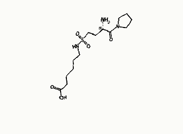 N[C@@H](CCS(=O)(=O)NCCCCCC(=O)O)C(=O)N1CCCC1